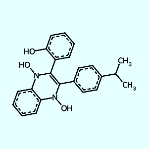 CC(C)c1ccc(C2=C(c3ccccc3O)N(O)c3ccccc3N2O)cc1